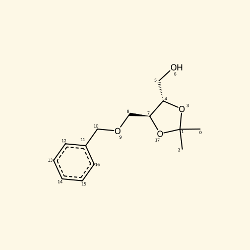 CC1(C)O[C@@H](CO)[C@H](COCc2ccccc2)O1